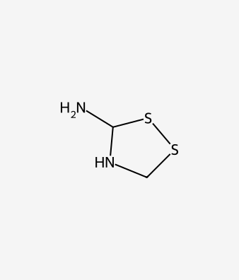 NC1NCSS1